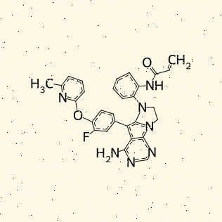 C=CC(=O)Nc1ccccc1N1CCn2c1c(-c1ccc(Oc3cccc(C)n3)c(F)c1)c1c(N)ncnc12